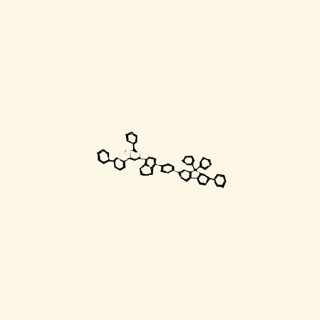 c1ccc(-c2cccc(-c3cc(-c4ccc(-c5ccc(-c6ccc7c(c6)C(c6ccccc6)(c6ccccc6)c6cc(-c8ccccc8)ccc6-7)cc5)c5ccccc45)nc(-c4ccccc4)n3)c2)cc1